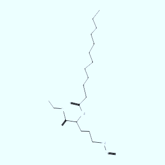 C=NNCCCC(NC(=O)CCCCCCCCCCC)C(=O)NCC